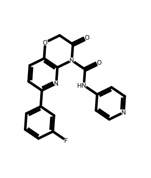 O=C1COc2ccc(-c3cccc(F)c3)nc2N1C(=O)Nc1ccncc1